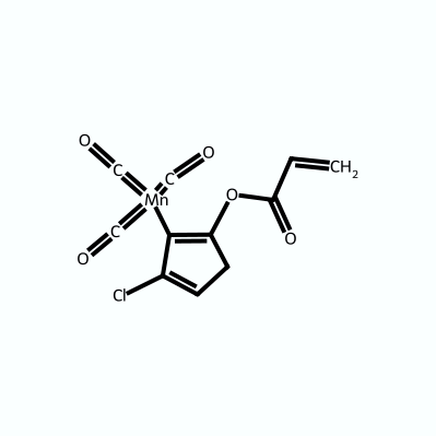 C=CC(=O)OC1=[C]([Mn](=[C]=O)(=[C]=O)=[C]=O)C(Cl)=CC1